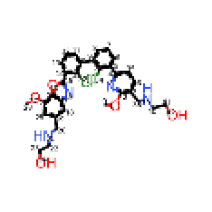 COc1nc(-c2cccc(-c3cccc(-c4nc5cc(CNCCO)cc(OC)c5o4)c3Cl)c2Cl)ccc1CNCCO